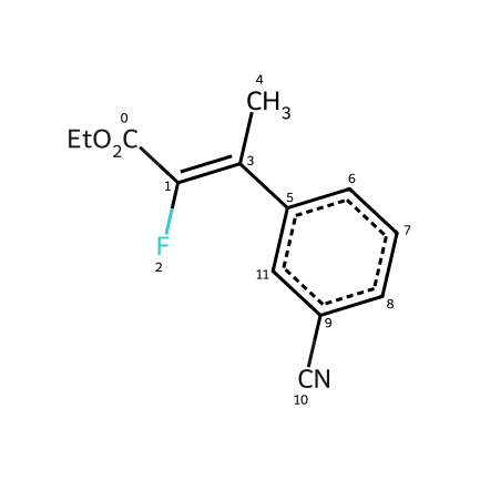 CCOC(=O)/C(F)=C(\C)c1cccc(C#N)c1